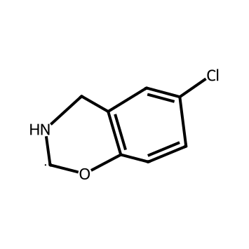 Clc1ccc2c(c1)CN[CH]O2